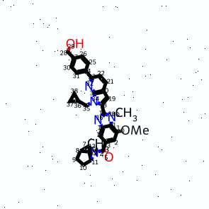 COc1cc(C(=O)N2CC3CCC2[C@@H]3C)cc2nc(-c3cc4ccc(-c5ccc(CO)cc5)nc4n3CC3CC3)n(C)c12